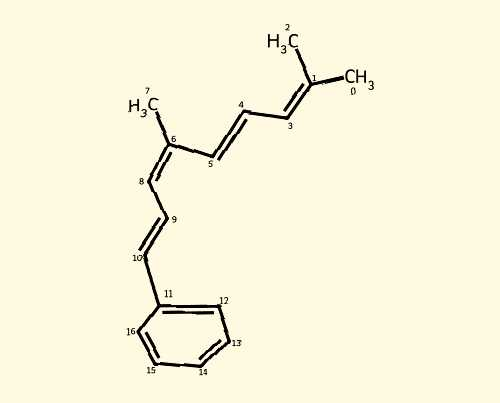 CC(C)=CC=CC(C)=CC=Cc1ccccc1